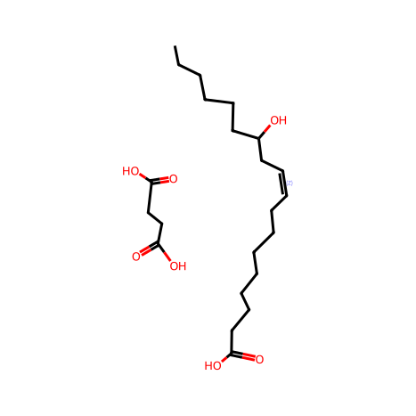 CCCCCCC(O)C/C=C\CCCCCCCC(=O)O.O=C(O)CCC(=O)O